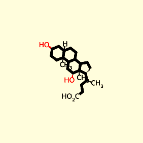 C[C@H](CCC(=O)O)[C@H]1CCC2C3CC[C@@H]4C[C@H](O)CC[C@]4(C)C3C[C@@H](O)[C@@]21C